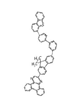 CC1(C)c2cc(-c3cccc(-c4ccc(-c5cccc6c5sc5ccccc56)cc4)c3)ccc2-c2ccc(-c3cnc4c5ccccc5c5ccccc5c4n3)cc21